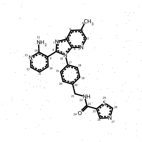 Cc1cnc2c(c1)nc(-c1cccnc1N)n2-c1ccc(CNC(=O)c2cncs2)cc1